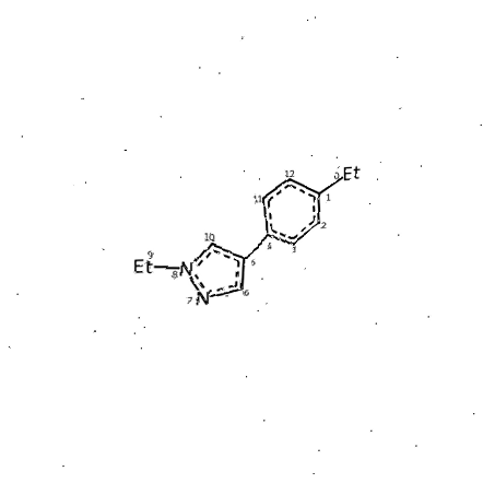 CCc1ccc(-c2cnn(CC)c2)cc1